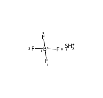 F[B-](F)(F)F.[SH3+]